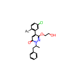 CC(=O)c1ccc(Cl)cc1-c1cc(=O)n(C(C)Cc2ccccc2)nc1OCCO